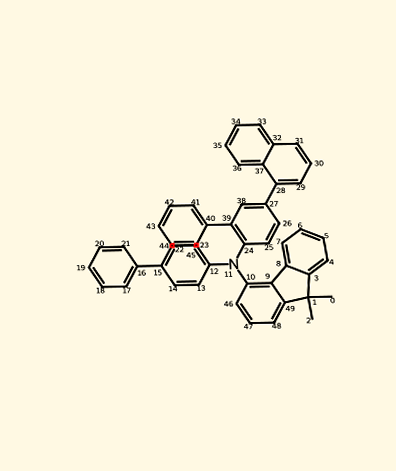 CC1(C)c2ccccc2-c2c(N(c3ccc(-c4ccccc4)cc3)c3ccc(-c4cccc5ccccc45)cc3-c3ccccc3)cccc21